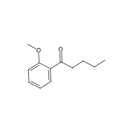 CCC[CH]C(=O)c1ccccc1OC